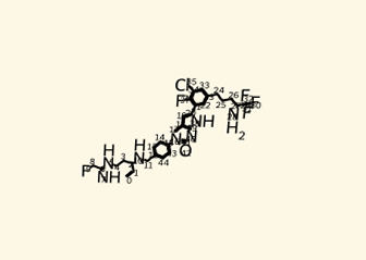 C=CC(CCNC(=N)CF)NCc1ccc(-n2cc3cc(-c4cc(CCC[C@@H](N)C(F)(F)F)cc(Cl)c4F)[nH]c3nc2=O)cc1